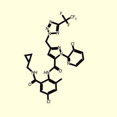 Cc1cc(Cl)cc(C(=O)NCC2CC2)c1NC(=O)c1cc(Cn2nnc(C(F)(F)C(F)(F)F)n2)nn1-c1ncccc1Cl